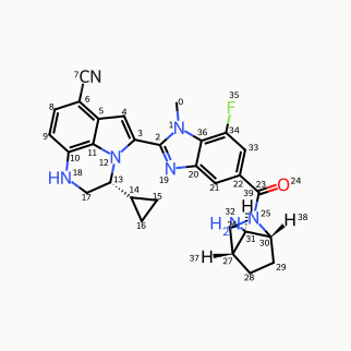 Cn1c(-c2cc3c(C#N)ccc4c3n2[C@H](C2CC2)CN4)nc2cc(C(=O)N3C[C@H]4CC[C@@H]3[C@@H]4N)cc(F)c21